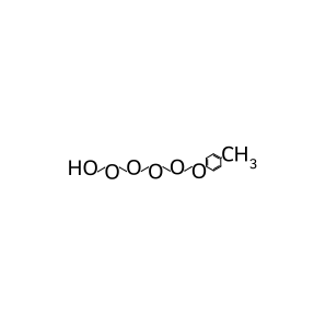 Cc1ccc(OCCOCCOCCOCCOCCO)cc1